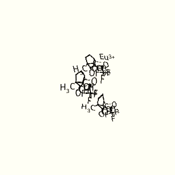 CC12CCC([C-](C(=O)C(F)(F)F)C1=O)C2(C)C.CC12CCC([C-](C(=O)C(F)(F)F)C1=O)C2(C)C.CC12CCC([C-](C(=O)C(F)(F)F)C1=O)C2(C)C.[Eu+3]